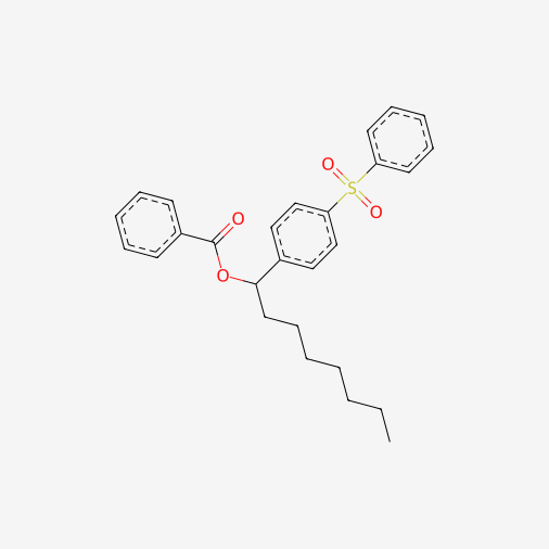 CCCCCCCC(OC(=O)c1ccccc1)c1ccc(S(=O)(=O)c2ccccc2)cc1